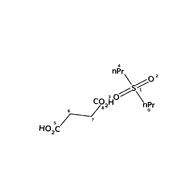 CCCS(=O)(=O)CCC.O=C(O)CCC(=O)O